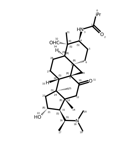 CC(C)C(=O)N[C@H]1CC[C@]23C[C@]24C(=O)C[C@]2(C)[C@@H]([C@H](C)N(C)C)[C@H](O)C[C@@]2(C)[C@@H]4CC[C@H]3[C@]1(C)C=O